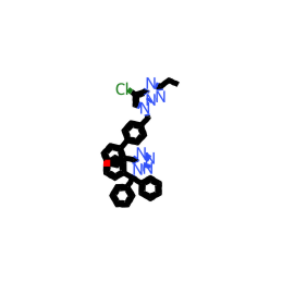 CCc1nc2c(Cl)cn(Cc3ccc(-c4ccccc4-c4nnnn4C(c4ccccc4)(c4ccccc4)c4ccccc4)cc3)n2n1